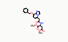 CC(C)(C)OC(=O)CC(NC(=O)Cc1ccc(OCc2ccccc2)c2nccn12)C(=O)OC(C)(C)C